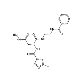 Cc1cc(C(=O)N[C@@H](CC(=O)NC(C)(C)C)C(=O)NCCNC(=O)c2ccccn2)no1